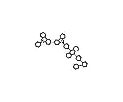 c1ccc(-c2ccccc2-c2ccc(-c3c4ccccc4c(-c4ccc(-n5c6ccccc6c6cc(-c7ccc8c(c7)c7ccccc7n8-c7ccccc7)ccc65)cc4)c4ccccc34)cc2)cc1